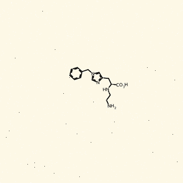 NCCN[C@@H](Cc1cn(Cc2ccccc2)cn1)C(=O)O